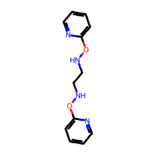 c1ccc(ONCCNOc2ccccn2)nc1